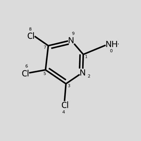 [NH]c1nc(Cl)c(Cl)c(Cl)n1